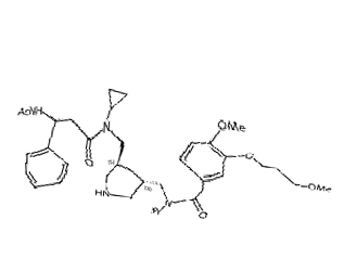 COCCCOc1cc(C(=O)N(C[C@@H]2CNC[C@H]2CN(C(=O)CC(NC(C)=O)c2ccccc2)C2CC2)C(C)C)ccc1OC